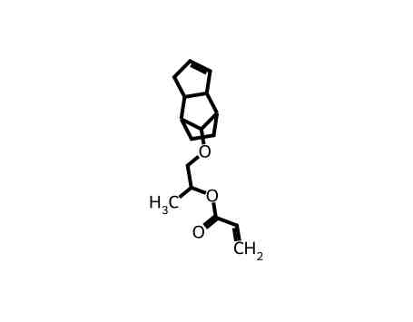 C=CC(=O)OC(C)COC1C2CCC1C1CC=CC12